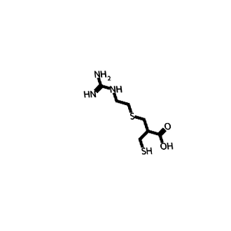 N=C(N)NCCSCC(CS)C(=O)O